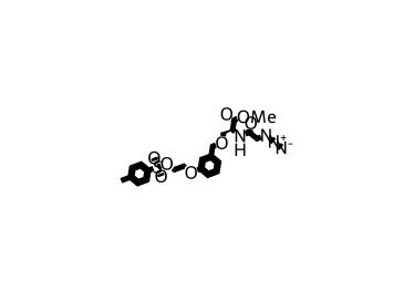 COC(=O)[C@H](COCc1cccc(OCCOS(=O)(=O)c2ccc(C)cc2)c1)NC(=O)CN=[N+]=[N-]